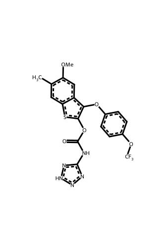 COc1cc2c(Oc3ccc(OC(F)(F)F)cc3)c(OC(=O)Nc3nn[nH]n3)sc2cc1C